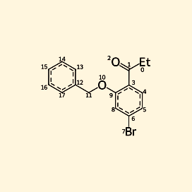 CCC(=O)c1ccc(Br)cc1OCc1ccccc1